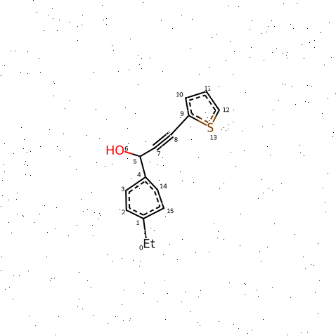 CCc1ccc(C(O)C#Cc2cccs2)cc1